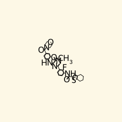 Cn1cc(-c2cccc(NC(=O)c3cc4c(s3)CCCC4)c2F)nc(Nc2ccc(C(=O)N3CCOCC3)cc2)c1=O